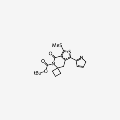 CSc1sc(C2=NCC=C2)c2c1C(=O)N(C(=O)OC(C)(C)C)C1(CCC1)C2